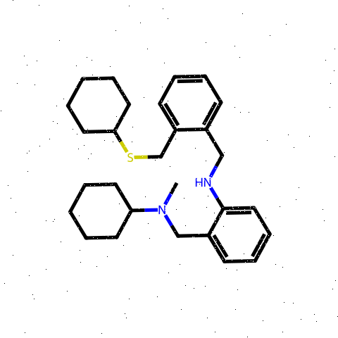 CN(Cc1ccccc1NCc1ccccc1CSC1CCCCC1)C1CCCCC1